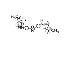 CN(C)CC(=O)N1CCC[C@H]1C(=O)Nc1ccc(-c2cnc(-c3ccc(NC(=O)[C@@H]4CCCN4C(=O)CN(C)C)cc3)o2)cc1